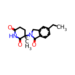 CCc1ccc2c(c1)CN([C@@]1(C)CCC(=O)NC1=O)C2=O